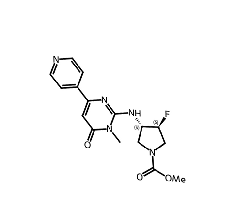 COC(=O)N1C[C@H](Nc2nc(-c3ccncc3)cc(=O)n2C)[C@@H](F)C1